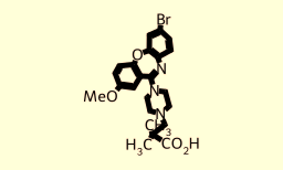 COc1ccc2c(c1)C(N1CCN(CC(C)(C)C(=O)O)CC1)=Nc1ccc(Br)cc1O2